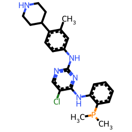 Cc1cc(Nc2ncc(Cl)c(Nc3ccccc3P(C)C)n2)ccc1C1CCNCC1